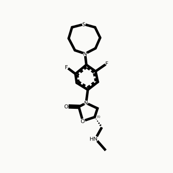 CNC[C@H]1CN(c2cc(F)c(N3CCCSCCC3)c(F)c2)C(=O)O1